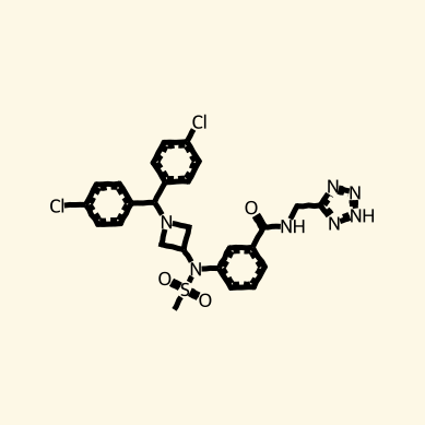 CS(=O)(=O)N(c1cccc(C(=O)NCc2nn[nH]n2)c1)C1CN(C(c2ccc(Cl)cc2)c2ccc(Cl)cc2)C1